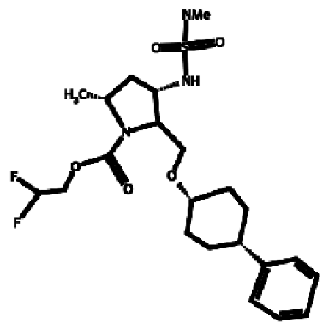 CNS(=O)(=O)N[C@H]1C[C@@H](C)N(C(=O)OCC(F)F)C1CO[C@H]1CC[C@@H](c2ccccc2)CC1